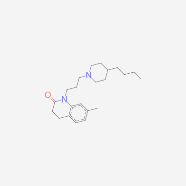 CCCCC1CCN(CCCN2C(=O)CCc3ccc(C)cc32)CC1